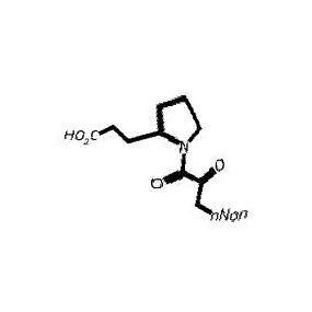 CCCCCCCCCCC(=O)C(=O)N1CCCC1CCC(=O)O